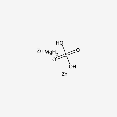 O=S(=O)(O)O.[MgH2].[Zn].[Zn]